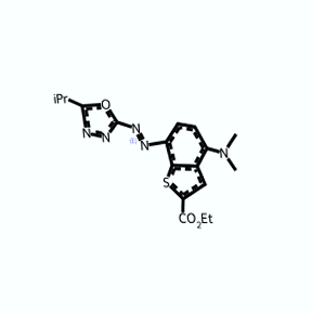 CCOC(=O)c1cc2c(N(C)C)ccc(/N=N/c3nnc(C(C)C)o3)c2s1